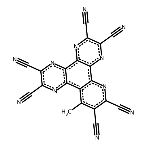 Cc1c(C#N)c(C#N)nc2c3nc(C#N)c(C#N)nc3c3nc(C#N)c(C#N)nc3c12